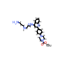 CN(CCCN)CCCNc1cc(-c2ccc(N3CCN(C(=O)OC(C)(C)C)CC3)cc2)nc2ccccc12